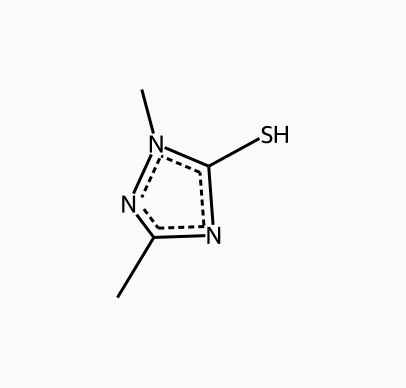 Cc1nc(S)n(C)n1